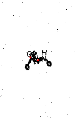 O=c1cc(C#Cc2ccccc2)c2cnc(N3CCC(NCCc4ccccc4)CC3)nc2n1C1CCCC1